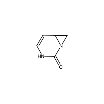 O=C1NC=CC2CN12